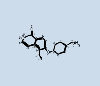 N[C@H]1CC[C@@H](Oc2ccc3c(=O)[nH]ccc3c2CI)CC1